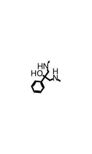 CNCC(O)(CNC)c1ccccc1